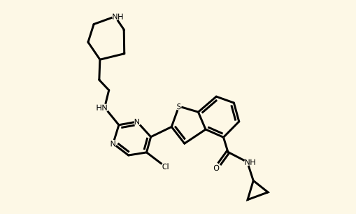 O=C(NC1CC1)c1cccc2sc(-c3nc(NCCC4CCNCC4)ncc3Cl)cc12